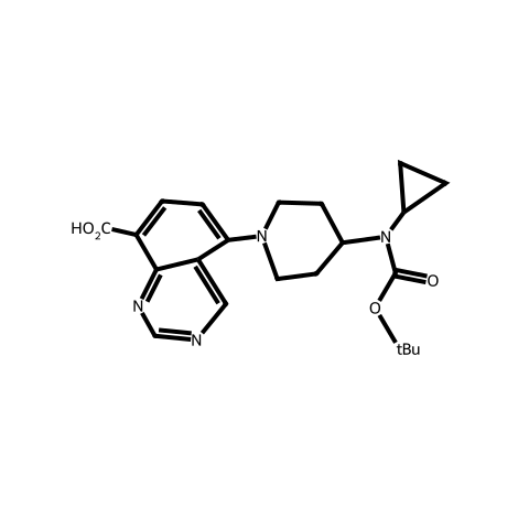 CC(C)(C)OC(=O)N(C1CC1)C1CCN(c2ccc(C(=O)O)c3ncncc23)CC1